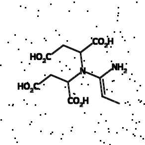 CC=C(N)N(C(CC(=O)O)C(=O)O)C(CC(=O)O)C(=O)O